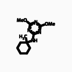 COc1nc(NC2(C)CCCCC2)nc(OC)n1